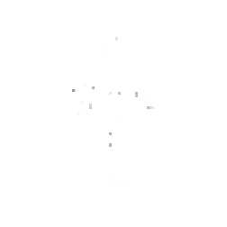 CS1(C)c2cc(-c3ccc4ccccc4c3)ccc2C2C=c3c(-c4cc5ccccc5c5ccccc45)c4ccc(-c5ccc6ccccc6c5)cc4c(-c4cc5ccccc5c5ccccc45)c3=CC21